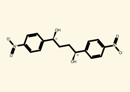 O=[N+]([O-])c1ccc([C@@H](O)CC[C@H](O)c2ccc([N+](=O)[O-])cc2)cc1